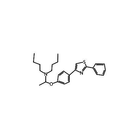 CCCCN(CCCC)C(C)Oc1ccc(-c2csc(-c3ccccc3)n2)cc1